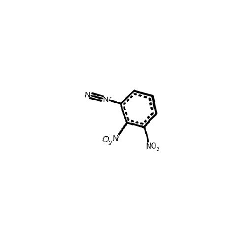 N#[N+]c1cccc([N+](=O)[O-])c1[N+](=O)[O-]